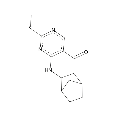 CSc1ncc(C=O)c(NC2CC3CCC2C3)n1